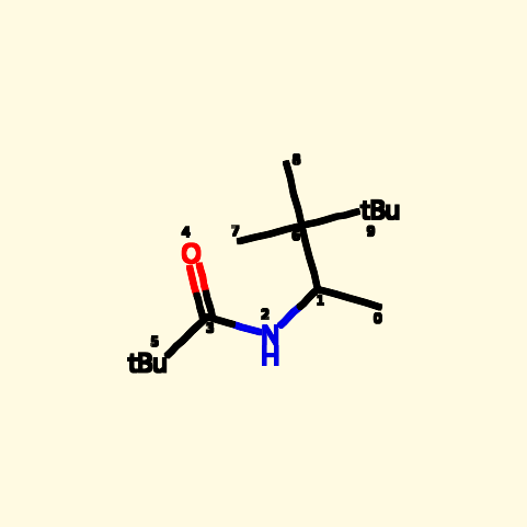 CC(NC(=O)C(C)(C)C)C(C)(C)C(C)(C)C